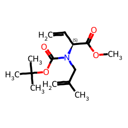 C=C[C@@H](C(=O)OC)N(CC(=C)C)C(=O)OC(C)(C)C